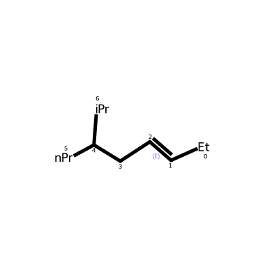 [CH2]C/C=C/CC(CC[CH2])C(C)C